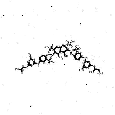 Nc1c(N=Nc2ccc(Nc3nc(Cl)nc(SCC(=O)O)n3)cc2S(=O)(=O)O)c(S(=O)(=O)O)cc2cc(S(=O)(=O)O)c(N=Nc3ccc(Nc4nc(Cl)nc(OC(O)CS)n4)cc3S(=O)(=O)O)c(O)c12